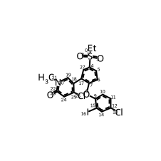 CCS(=O)(=O)c1ccc(Oc2ccc(Cl)cc2I)c(-c2cn(C)c(=O)cc2Cl)c1